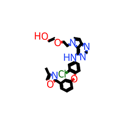 Cc1coc(-c2cccc(Oc3ccc(Nc4ncnc5ccn(CCOCCO)c45)cc3Cl)c2)n1